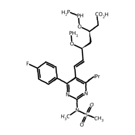 CC(C)c1nc(N(C)S(C)(=O)=O)nc(-c2ccc(F)cc2)c1/C=C/[C@H](C[C@H](CC(=O)O)OPP)OP